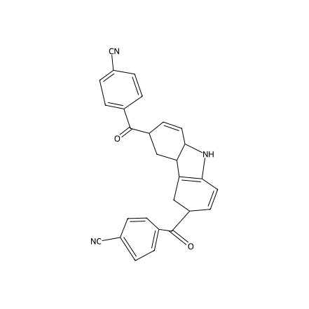 N#Cc1ccc(C(=O)C2C=CC3=C(C2)C2CC(C(=O)c4ccc(C#N)cc4)C=CC2N3)cc1